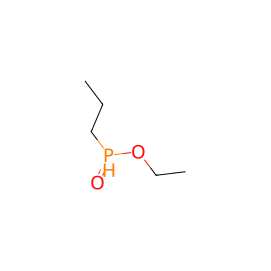 CCC[PH](=O)OCC